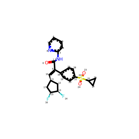 O=C(Nc1ccccn1)/C(=C/[C@H]1C[C@@H](F)[C@@H](F)C1)c1ccc(S(=O)(=O)C2CC2)cc1